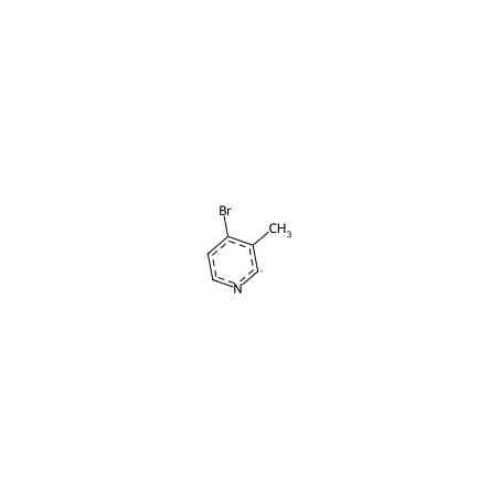 Cc1[c]nccc1Br